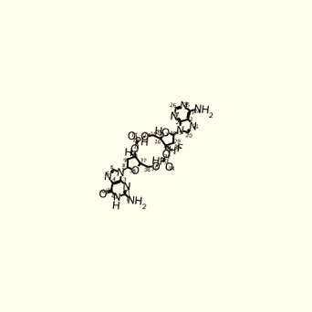 Nc1nc2c(ncn2[C@H]2C[C@@H]3O[PH](=O)OC[C@H]4O[C@@H](n5cnc6c(N)ncnc65)[C@H](F)[C@@H]4O[PH](=O)OCC3O2)c(=O)[nH]1